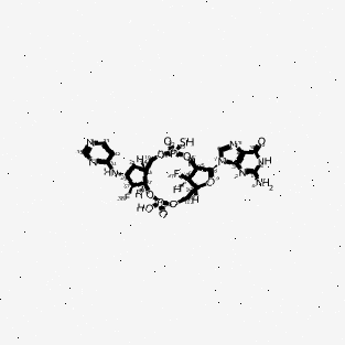 Nc1nc2c(ncn2[C@@H]2O[C@@H]3COP(=O)(O)O[C@@H]4[C@@H](COP(=O)(S)O[C@@H]2[C@@H]3F)C[C@@H](Nc2ccncn2)[C@@H]4F)c(=O)[nH]1